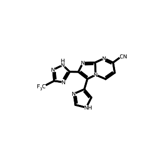 N#Cc1ccn2c(-c3c[nH]cn3)c(-c3nc(C(F)(F)F)n[nH]3)nc2n1